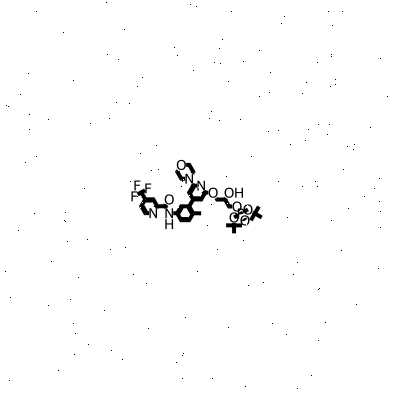 Cc1ccc(NC(=O)c2cc(C(F)(F)F)ccn2)cc1-c1cc(OCC(O)COP(=O)(OC(C)(C)C)OC(C)(C)C)nc(N2CCOCC2)c1